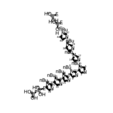 CCCCn1ccnc1.CCCCn1ccnc1.CCCCn1ccnc1.CCCCn1ccnc1.CCCCn1ccnc1.CCCCn1ccnc1.CCCCn1ccnc1.CCCCn1ccnc1.OB(O)F.OB(O)F.OB(O)F.OB(O)F